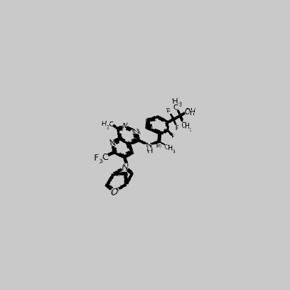 Cc1nnc(N[C@H](C)c2cccc(C(F)(F)C(C)(C)O)c2F)c2cc(N3CC4CC3CO4)c(C(F)(F)F)nc12